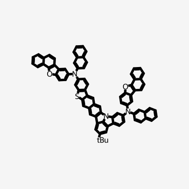 CC(C)(C)c1cc2c3ccc(N(c4ccc5ccccc5c4)c4ccc5oc6c7ccccc7ccc6c5c4)cc3n3c4cc5cc6c(cc5cc4c(c1)c23)sc1cc(N(c2ccc3ccccc3c2)c2ccc3oc4c5ccccc5ccc4c3c2)ccc16